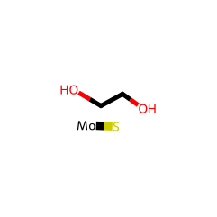 OCCO.[S]=[Mo]